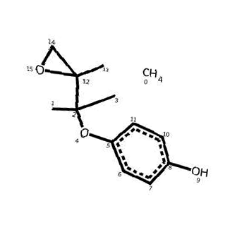 C.CC(C)(Oc1ccc(O)cc1)C1(C)CO1